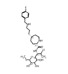 CSC1O[C@H]([C@H](NC(=O)[C@@H]2CC[C@H](CCCNCc3ccc(F)cc3)CCN2)[C@H](C)Cl)C(O)C(O)[C@H]1O